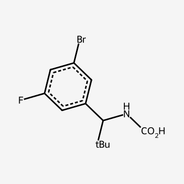 CC(C)(C)C(NC(=O)O)c1cc(F)cc(Br)c1